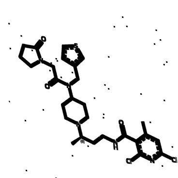 Cc1cc(Cl)nc(Cl)c1C(=O)NCC[C@@H](C)N1CCC(N(Cc2ccsc2)C(=O)CN2CCCC2=O)CC1